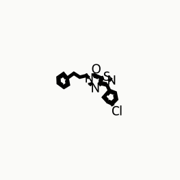 O=c1c2snc(-c3ccc(Cl)cc3)c2ncn1CCCc1ccccc1